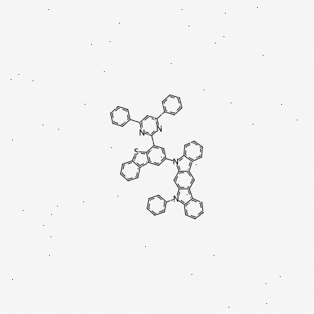 c1ccc(-c2cc(-c3ccccc3)nc(-c3cc(-n4c5ccccc5c5cc6c7ccccc7n(-c7ccccc7)c6cc54)cc4c3sc3ccccc34)n2)cc1